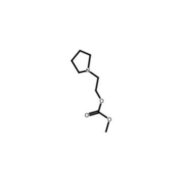 COC(=O)OCCN1CCCC1